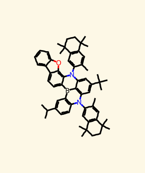 Cc1cc2c(cc1N1c3ccc(C(C)C)cc3B3c4ccc5c(oc6ccccc65)c4N(c4cc5c(cc4C)C(C)(C)CCC5(C)C)c4cc(C(C)(C)C)cc1c43)C(C)(C)CCC2(C)C